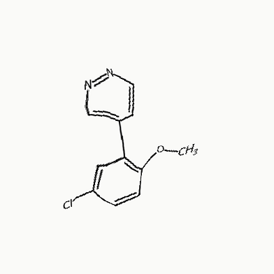 COc1ccc(Cl)cc1-c1ccnnc1